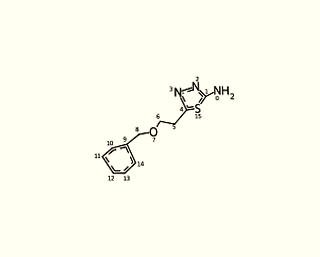 Nc1nnc(CCOCc2ccccc2)s1